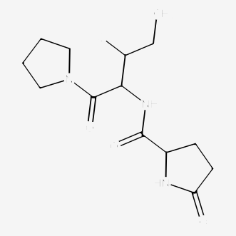 CCC(C)C(NC(=O)C1CCC(=O)N1)C(=O)N1CCCC1